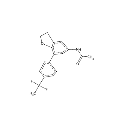 CC(=O)Nc1cc2c(c(-c3ccc(C(C)(F)F)cc3)c1)OCC2